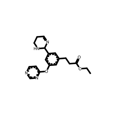 CCOC(=O)CCc1cc(Oc2ccncn2)cc(C2N=CCCN2)c1